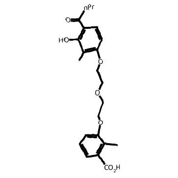 CCCC(=O)c1ccc(OCCOCCOc2cccc(C(=O)O)c2C)c(C)c1O